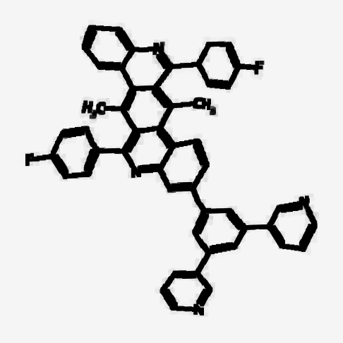 Cc1c2c(C3C=CC(F)=CC3)nc3ccccc3c2c(C)c2c(-c3ccc(F)cc3)nc3cc(-c4cc(-c5cccnc5)cc(-c5cccnc5)c4)ccc3c12